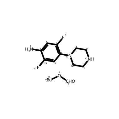 CC(C)(C)OC=O.Nc1cc(F)c(N2CCNCC2)cc1F